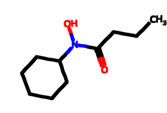 CCCC(=O)N(O)C1CCCCC1